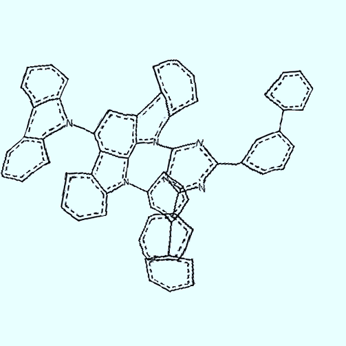 c1ccc(-c2cccc(-c3nc(-c4ccccc4)nc(-n4c5ccccc5c5cc(-n6c7ccccc7c7ccccc76)c6c7ccccc7n(-c7cccc(-c8ccccc8)c7)c6c54)n3)c2)cc1